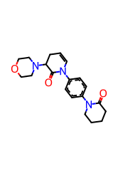 O=C1C(N2CCOCC2)CC=CN1c1ccc(N2CCCCC2=O)cc1